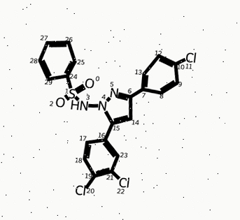 O=S(=O)(Nn1nc(-c2ccc(Cl)cc2)cc1-c1ccc(Cl)c(Cl)c1)c1ccccc1